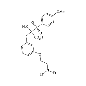 CCN(CC)CCOc1cccc(CC(C)(C(=O)O)S(=O)(=O)c2ccc(OC)cc2)c1